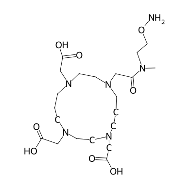 CN(CCON)C(=O)CN1CCCN(CC(=O)O)CCN(CC(=O)O)CCCN(CC(=O)O)CC1